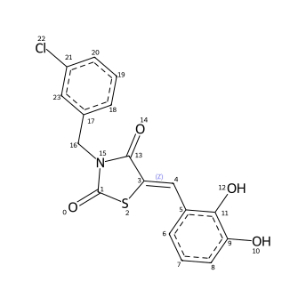 O=C1S/C(=C\c2cccc(O)c2O)C(=O)N1Cc1cccc(Cl)c1